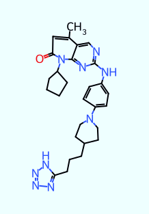 Cc1cc(=O)n(C2CCCC2)c2nc(Nc3ccc(N4CCC(CCCc5nnn[nH]5)CC4)cc3)ncc12